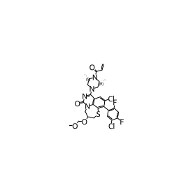 C=CC(=O)N1[C@H](C)CN(c2nc(=O)n3c4c(c(-c5cc(Cl)c(F)cc5F)c(Cl)cc24)SCC(OCOC)C3)C[C@@H]1C